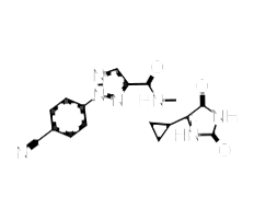 N#Cc1ccc(-n2ncc(C(=O)NC[C@@]3(C4CC4)NC(=O)NC3=O)n2)cc1